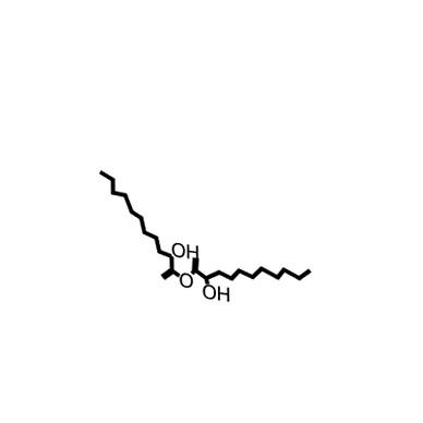 C=C(OC(=C)C(O)CCCCCCCCC)C(O)CCCCCCCCC